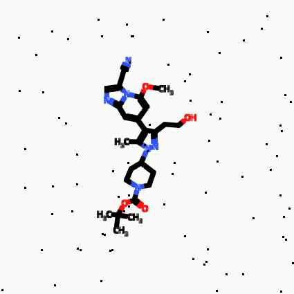 COc1cc(-c2c(CCO)nn(C3CCN(C(=O)OC(C)(C)C)CC3)c2C)cc2ncc(C#N)n12